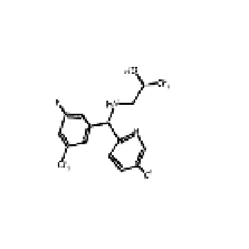 O[C@H](CN[C@H](c1cc(F)cc(C(F)(F)F)c1)c1ccc(Cl)cn1)C(F)(F)F